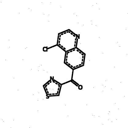 O=C(c1ccc2nccc(Cl)c2c1)c1cscn1